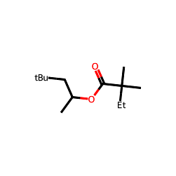 CCC(C)(C)C(=O)OC(C)CC(C)(C)C